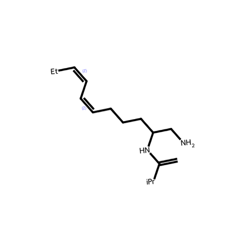 C=C(NC(CN)CCC/C=C\C=C/CC)C(C)C